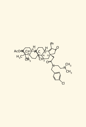 CC(=O)O[C@H]1CC[C@]2(C)[C@H]3CC[C@@H]4C5=C(C(C)C)C(=O)C[C@]5(CC(=O)N(CCN(C)C)Cc5ccc(Cl)cc5)CC[C@@]4(C)[C@]3(C)CC[C@H]2C1(C)C